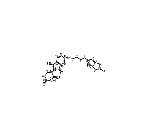 CN1Cc2cn(CCCCOc3ccc4c(c3)C(=O)N(C3CCC(=O)NC3=O)C4=O)nc2C1